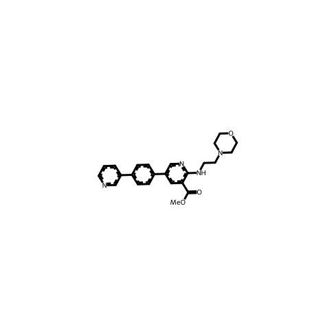 COC(=O)c1cc(-c2ccc(-c3cccnc3)cc2)cnc1NCCN1CCOCC1